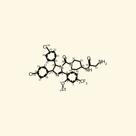 CCOc1cc(C(F)(F)F)ccc1C1=NC(c2ccc(Cl)cc2)C(c2ccc(Cl)cc2)N1C(=O)N1CCC(NC(=O)CN)CC1